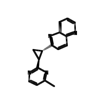 Cc1ccnc([C@H]2C[C@@H]2c2ccc3ncccc3n2)n1